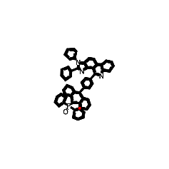 O=P(c1ccccc1)(c1ccccc1)c1c2ccccc2c(-c2ccc(-c3nc4ccccc4c4ccc5c(nc(-c6ccccc6)n5-c5ccccc5)c34)cc2)c2ccccc12